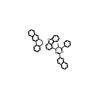 CC1C(c2ccccc2)=NC(c2ccc3ccccc3c2)=NC1c1ccc([C@H]2Cc3cc4ccccc4cc3-c3ccccc32)c2oc3ccccc3c12